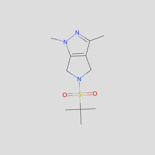 Cc1nn(C)c2c1CN(S(=O)(=O)C(C)(C)C)C2